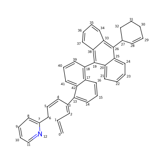 C=C/C=C(\C=C/Cc1ccccn1)c1cccc2c(-c3c4ccccc4c(C4C=CCCC4)c4ccccc34)cccc12